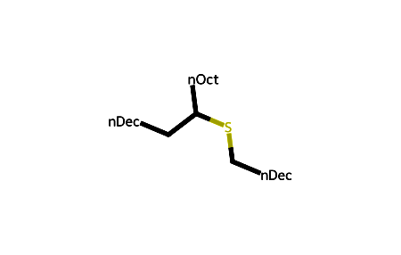 CCCCCCCCCCCSC(CCCCCCCC)CCCCCCCCCCC